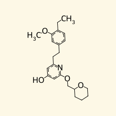 CCc1ccc(CCc2cc(O)cc(OCC3CCCCO3)n2)cc1OC